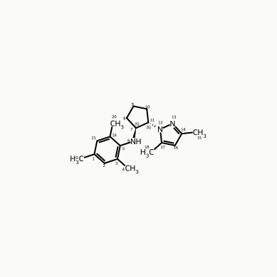 Cc1cc(C)c(N[C@H]2CCC[C@@H]2n2nc(C)cc2C)c(C)c1